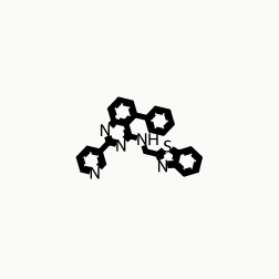 c1ccc(-c2cccc3nc(-c4cccnc4)nc(NCc4nc5ccccc5s4)c23)cc1